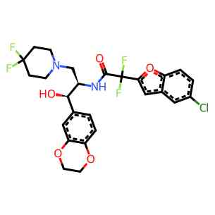 O=C(N[C@H](CN1CCC(F)(F)CC1)[C@H](O)c1ccc2c(c1)OCCO2)C(F)(F)c1cc2cc(Cl)ccc2o1